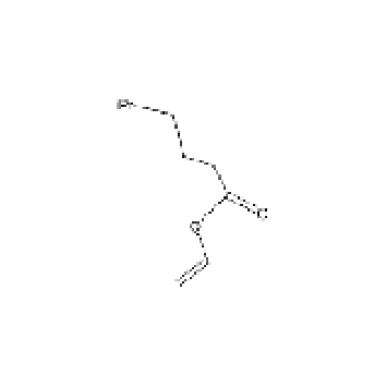 C=COC(=O)CCCC(C)C